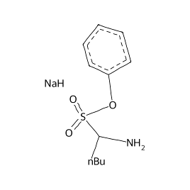 CCCCC(N)S(=O)(=O)Oc1ccccc1.[NaH]